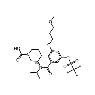 COCCCOc1cc(OS(=O)(=O)C(F)(F)F)cc(C(=O)N(C(C)C)[C@@H]2CCCN(C(=O)O)C2)c1